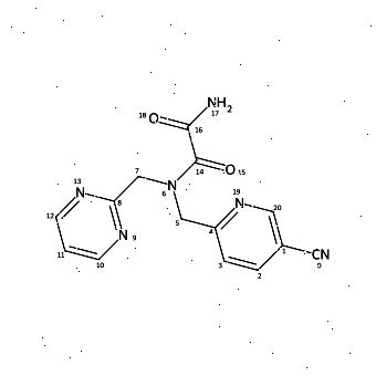 N#Cc1ccc(CN(Cc2ncccn2)C(=O)C(N)=O)nc1